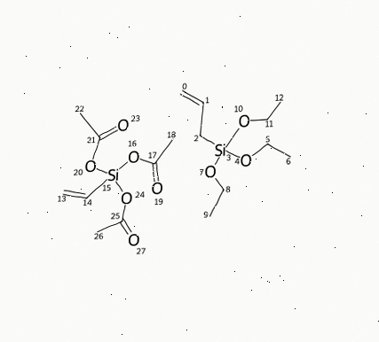 C=CC[Si](OCC)(OCC)OCC.C=C[Si](OC(C)=O)(OC(C)=O)OC(C)=O